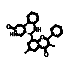 Cc1cc(C(C)Nc2ccccc2-c2cc[nH]c(=O)c2)c2oc(-c3ccccc3)c(C)c(=O)c2c1